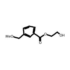 COCc1cccc(C(=O)OCCO)c1